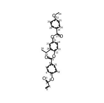 C=CC(=O)Oc1ccc(C(=O)Oc2ccc(OC(=O)c3ccc(OC)cc3)cc2CC)cc1